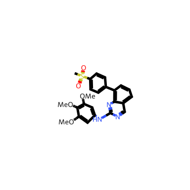 COc1cc(Nc2ncc3cccc(-c4ccc(S(C)(=O)=O)cc4)c3n2)cc(OC)c1OC